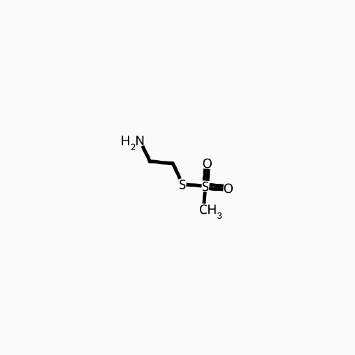 CS(=O)(=O)SCCN